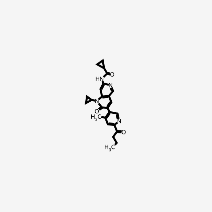 CCCC(=O)c1cc(C)c(-c2cc3cnc(NC(=O)C4CC4)cc3n(C3CC3)c2=O)cn1